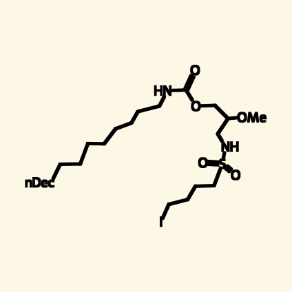 CCCCCCCCCCCCCCCCCCNC(=O)OCC(CNS(=O)(=O)CCCCI)OC